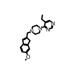 CCc1cncnc1N1CCN(CC2=Cc3ccc(OC)cc3C2)CC1